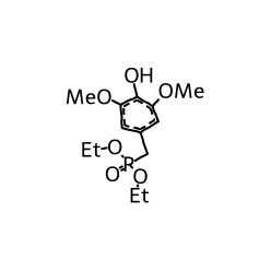 CCOP(=O)(Cc1cc(OC)c(O)c(OC)c1)OCC